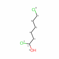 OC(Cl)CCCCCCl